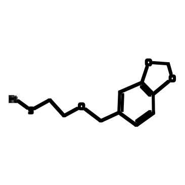 CCSCCOCc1ccc2c(c1)OCO2